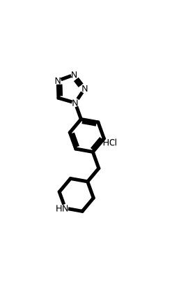 Cl.c1cc(-n2cnnn2)ccc1CC1CCNCC1